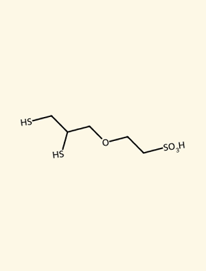 O=S(=O)(O)CCOCC(S)CS